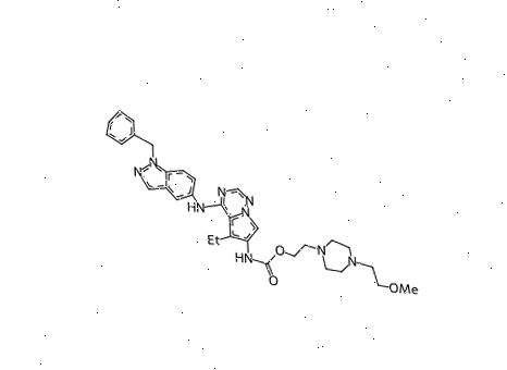 CCc1c(NC(=O)OCCN2CCN(CCOC)CC2)cn2ncnc(Nc3ccc4c(cnn4Cc4ccccc4)c3)c12